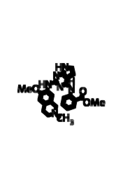 COC(=O)c1ccccc1Nc1nc(Nc2cc3c(cc2OC)CCN(C)C3)nc2[nH]ccc12